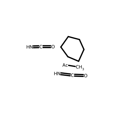 C1CCCCC1.CC(C)=O.N=C=O.N=C=O